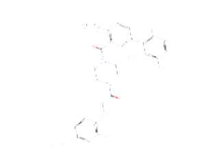 CNc1ccc(-c2cc(C(F)(F)F)ccc2F)cc1C(=O)N1CCN(C(=O)COc2ccc(OC(F)(F)F)cc2Cl)CC1C=O